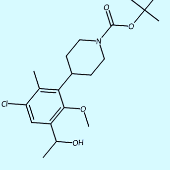 COc1c(C(C)O)cc(Cl)c(C)c1C1CCN(C(=O)OC(C)(C)C)CC1